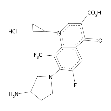 Cl.NC1CCN(c2c(F)cc3c(=O)c(C(=O)O)cn(C4CC4)c3c2C(F)(F)F)C1